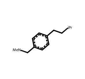 CNCc1ccc(CCC(C)C)cc1